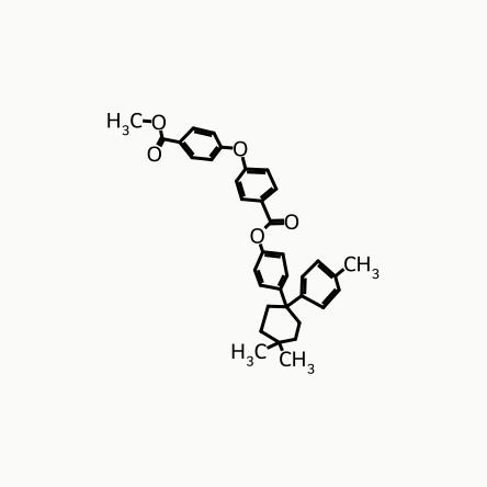 COC(=O)c1ccc(Oc2ccc(C(=O)Oc3ccc(C4(c5ccc(C)cc5)CCC(C)(C)CC4)cc3)cc2)cc1